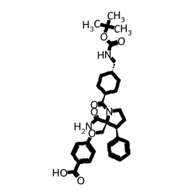 CC(C)(C)OC(=O)NC[C@H]1CC[C@H](C(=O)N2CC[C@@H](c3ccccc3)[C@]2(COc2ccc(C(=O)O)cc2)C(N)=O)CC1